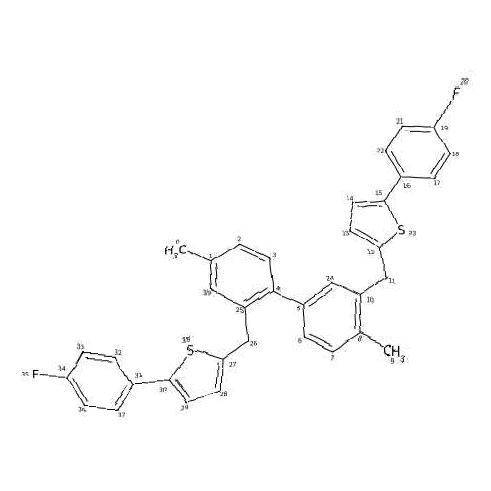 Cc1ccc(-c2ccc(C)c(Cc3ccc(-c4ccc(F)cc4)s3)c2)c(Cc2ccc(-c3ccc(F)cc3)s2)c1